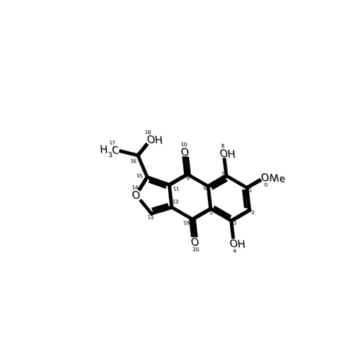 COc1cc(O)c2c(c1O)C(=O)c1c(coc1C(C)O)C2=O